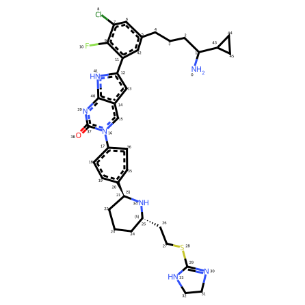 NC(CCCc1cc(Cl)c(F)c(-c2cc3cn(-c4ccc([C@@H]5CCC[C@@H](CCSC6=NCCN6)N5)cc4)c(=O)nc3[nH]2)c1)C1CC1